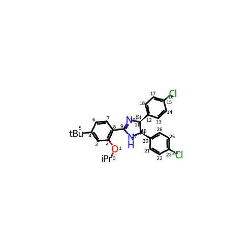 CC(C)Oc1cc(C(C)(C)C)ccc1C1=N[C@@H](c2ccc(Cl)cc2)[C@@H](c2ccc(Cl)cc2)N1